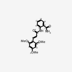 COc1cc(OC)c(C=CC(=O)Nc2ccccc2C(N)=O)c(OC)c1